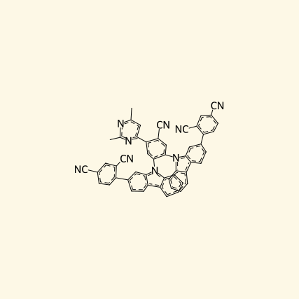 Cc1cc(-c2cc(-n3c4ccccc4c4ccc(-c5ccc(C#N)cc5C#N)cc43)c(-n3c4ccccc4c4ccc(-c5ccc(C#N)cc5C#N)cc43)cc2C#N)nc(C)n1